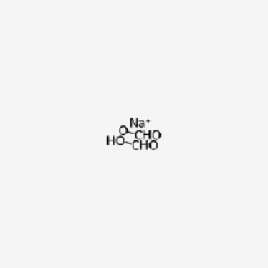 O=CO.O=C[O-].[Na+]